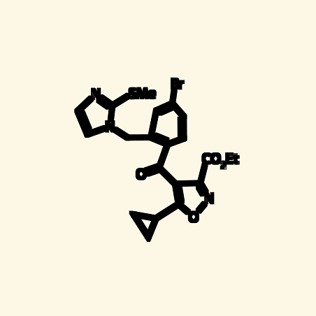 CCOC(=O)c1noc(C2CC2)c1C(=O)c1ccc(Br)cc1Cn1ccnc1SC